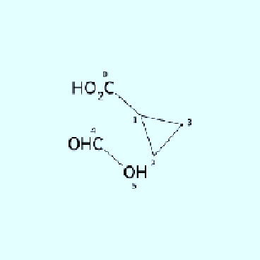 O=C(O)C1CC1.O=CO